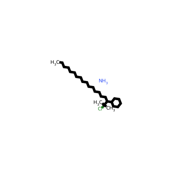 CCCCCCCCCCCCCCCCC(C1CCCCC1)C(C)(C)Cl.N